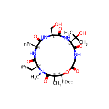 CCCCCCCCCC[C@H]1OC(=O)CNC(=O)[C@H](C(C)(C)O)NC(=O)[C@H](CO)NC(=O)[C@H](CCC)NC(=O)[C@H](CC(C)C)N(C)C(=O)[C@@H]1C